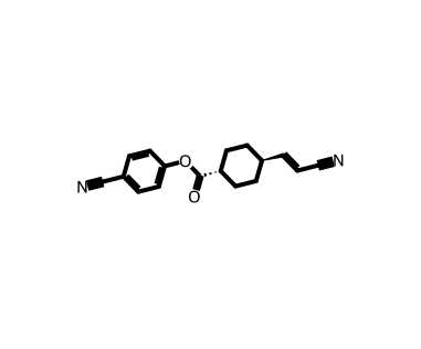 N#CC=C[C@H]1CC[C@H](C(=O)Oc2ccc(C#N)cc2)CC1